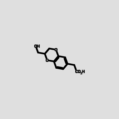 O=C(O)Cc1ccc2c(c1)OCC(CO)O2